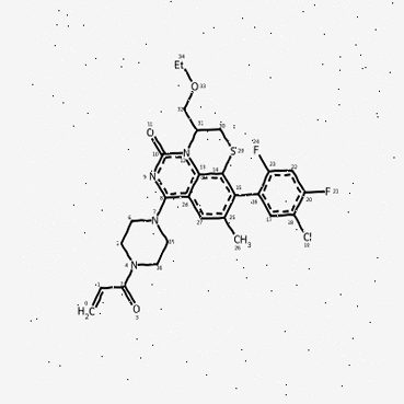 C=CC(=O)N1CCN(c2nc(=O)n3c4c(c(-c5cc(Cl)c(F)cc5F)c(C)cc24)SCC3COCC)CC1